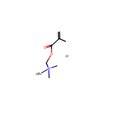 C=C(C)C(=O)OC[N+](C)(C)CCCC.[Br-]